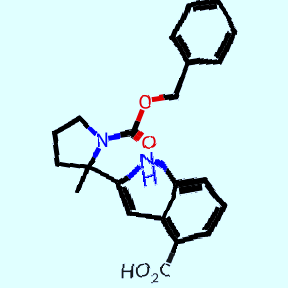 CC1(c2cc3c(C(=O)O)cccc3[nH]2)CCCN1C(=O)OCc1ccccc1